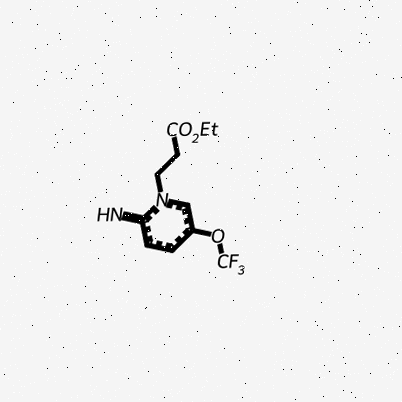 CCOC(=O)CCn1cc(OC(F)(F)F)ccc1=N